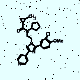 COc1ccc(-c2nc(-c3ccncc3)nn2CCN(C(=O)C2CC2C)C2CCCC2)cc1Cl